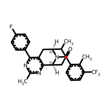 Cc1nc(-c2ccc(F)cc2)c2c(n1)[C@@H]1CCC(C)[C@H](C2)N1C(=O)c1cccc(C(F)(F)F)c1C